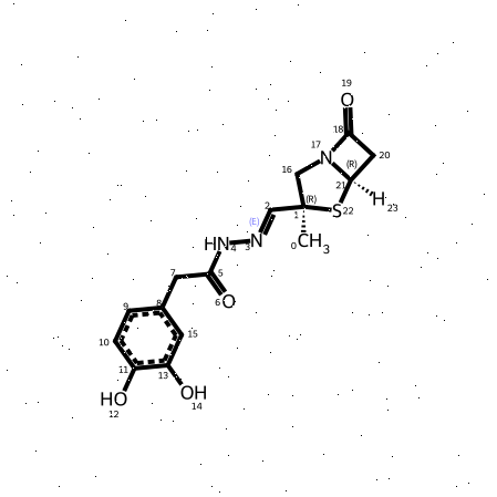 C[C@]1(/C=N/NC(=O)Cc2ccc(O)c(O)c2)CN2C(=O)C[C@H]2S1